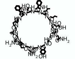 CCCC[C@H]1C(=O)N(C)[C@@H](CCCC)C(=O)N[C@@H](CCC(=O)O)C(=O)NC(C(=O)NCC(N)=O)CSCC(=O)N[C@@H](Cc2ccc(O)cc2)C(=O)N(C)[C@@H](C)C(=O)N[C@@H](CC(N)=O)C(=O)N2CCC[C@H]2C(=O)N[C@@H](CC(N)=O)C(=O)N[C@@H](CC(C)C)C(=O)N2CCC[C@H]2C(=O)N[C@@H](Cc2c[nH]c3ccccc23)C(=O)N[C@@H](CCO)C(=O)N[C@@H](Cc2c[nH]c3ccccc23)C(=O)N1C